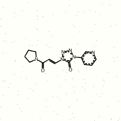 O=C(C=Cn1nnn(-c2cccnc2)c1=O)N1CCCC1